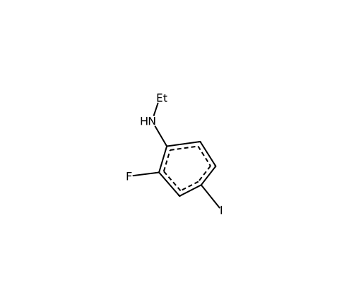 CCNc1ccc(I)cc1F